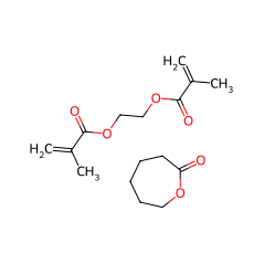 C=C(C)C(=O)OCCOC(=O)C(=C)C.O=C1CCCCCO1